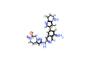 Cc1c(-c2cc3cc(Nc4cc5n(n4)CC(=O)N(C)CC5)ncc3c(N)c2F)cnc2c1NCC[C@H]2F